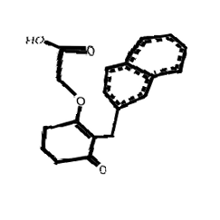 O=C(O)COC1=C(Cc2ccc3ccccc3c2)C(=O)CCC1